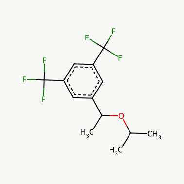 CC(C)OC(C)c1cc(C(F)(F)F)cc(C(F)(F)F)c1